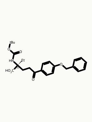 CC[C@@](CCC(=O)c1ccc(OCc2ccccc2)cc1)(NC(=O)OC(C)(C)C)C(=O)O